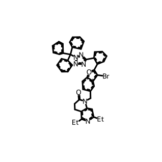 CCc1cc2c(c(CC)n1)CCC(=O)N2Cc1ccc2oc(-c3ccccc3-c3nnn(C(c4ccccc4)(c4ccccc4)c4ccccc4)n3)c(Br)c2c1